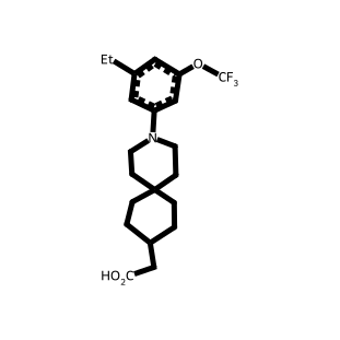 CCc1cc(OC(F)(F)F)cc(N2CCC3(CCC(CC(=O)O)CC3)CC2)c1